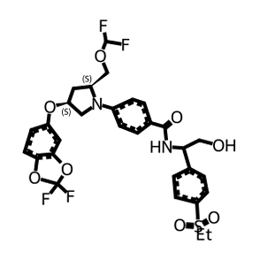 CCS(=O)(=O)c1ccc(C(CO)NC(=O)c2ccc(N3C[C@@H](Oc4ccc5c(c4)OC(F)(F)O5)C[C@H]3COC(F)F)cc2)cc1